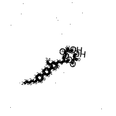 C=C(CO)C(=O)OCC(CCc1ccc(C2=CCC(C3CCC(CCCCC)CC3)CC2)c(CC)c1)COC(=O)C(=C)CO